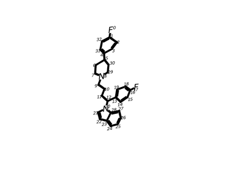 Fc1ccc(C2CCN(CCCC(c3ccc(F)cc3)n3ccc4ccccc43)CC2)cc1